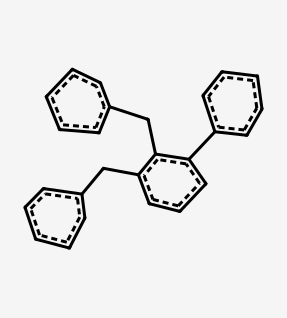 c1ccc(Cc2cccc(-c3ccccc3)c2Cc2ccccc2)cc1